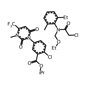 CC(C)OC(=O)c1cc(-n2c(=O)cc(C(F)(F)F)n(C)c2=O)ccc1Cl.CCOCN(C(=O)CCl)c1c(C)cccc1CC